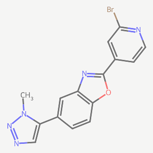 Cn1nncc1-c1ccc2oc(-c3ccnc(Br)c3)nc2c1